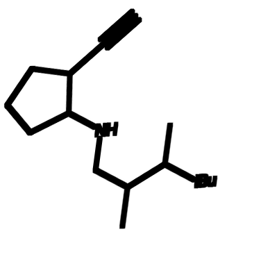 C#CC1CCCC1NCC(C)C(C)C(C)CC